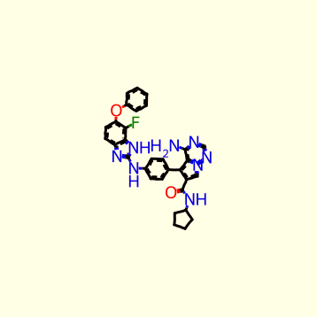 Nc1ncnn2cc(C(=O)NC3CCCC3)c(-c3ccc(Nc4nc5ccc(Oc6ccccc6)c(F)c5[nH]4)cc3)c12